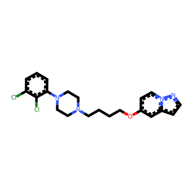 Clc1cccc(N2CCN(CCCCOc3ccn4nccc4c3)CC2)c1Cl